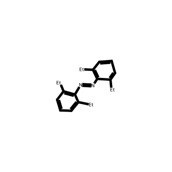 CCc1cccc(CC)c1N=Nc1c(CC)cccc1CC